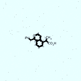 CC(C)Cc1nccc2c(C(C)C(=O)O)cccc12